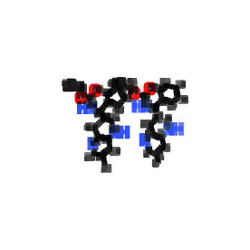 Cc1cnc2c(c1)NC[C@@H]([C@H](NC(=O)OC(C)(C)C)c1ccccc1)C2.Cc1cnc2c(c1)NC[C@H]([C@H](NC(=O)OC(C)(C)C)c1ccccc1)C2